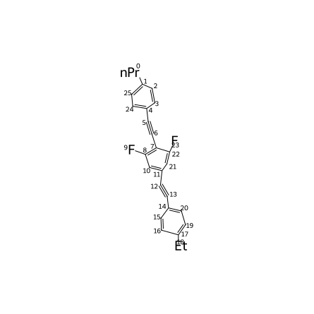 CCCc1ccc(C#Cc2c(F)cc(C#Cc3ccc(CC)cc3)cc2F)cc1